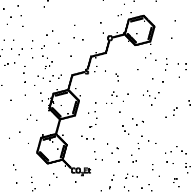 CCOC(=O)c1cccc(-c2ccc(CSCCOc3ccccc3)cc2)c1